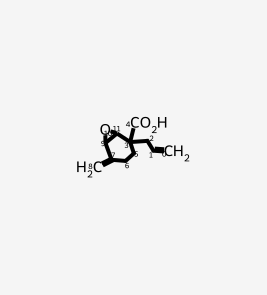 C=CCC1(C(=O)O)CCC(=C)C2OC21